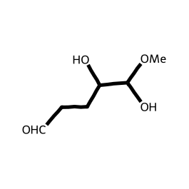 CO[C](O)C(O)CCC=O